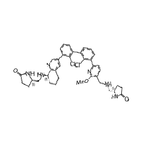 COc1nc(-c2cccc(-c3cccc(-c4cnc5c(c4)CCC[C@H]5NC[C@H]4CCC(=O)N4)c3Cl)c2Cl)ccc1CNC[C@@H]1CCC(=O)N1